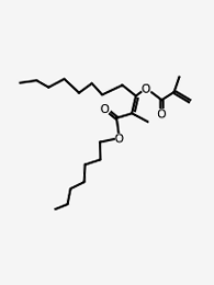 C=C(C)C(=O)OC(CCCCCCCC)=C(C)C(=O)OCCCCCCC